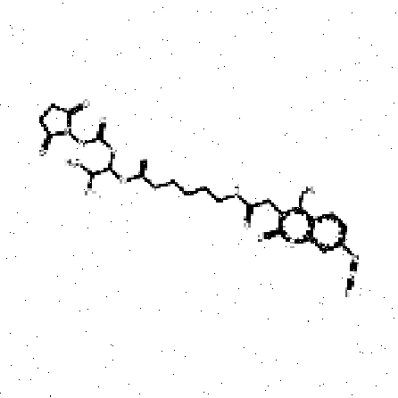 Cc1c(CC(=O)NCCCCCC(=O)OC(OC(=O)ON2C(=O)CCC2=O)C(C)C)c(=O)oc2cc(N=[N+]=[N-])ccc12